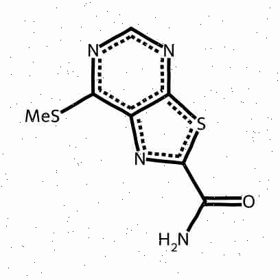 CSc1ncnc2sc(C(N)=O)nc12